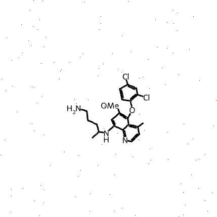 COc1cc(NC(C)CCCN)c2nccc(C)c2c1Oc1ccc(Cl)cc1Cl